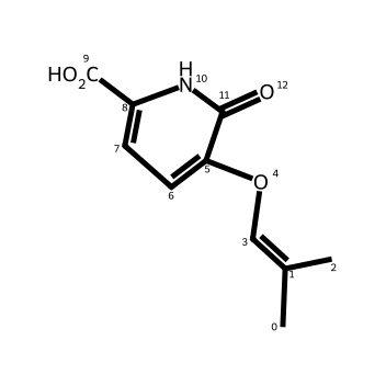 CC(C)=COc1ccc(C(=O)O)[nH]c1=O